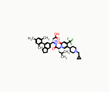 Cc1cc(C)c(-c2cc([C@H](CC(=O)O)NC(=O)[C@@H](CC(C)C)n3cc(C4CCN(CC5CC5)CC4)c(C(F)(F)F)cc3=O)cc3c2CCC3)c(C)c1